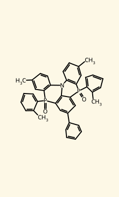 Cc1ccc2c(c1)P(=O)(c1ccccc1C)c1cc(-c3ccccc3)cc3c1N2c1ccc(C)cc1P3(=O)c1ccccc1C